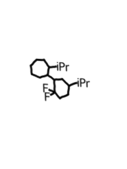 CC(C)C1CCC(F)(F)C(C2CCCCCC2C(C)C)C1